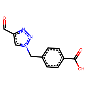 O=Cc1cn(Cc2ccc(C(=O)O)cc2)nn1